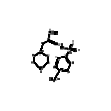 CCCCCCC(=O)C[S+]1CCOCC1.Cc1ccc(S(=O)(=O)[O-])cc1